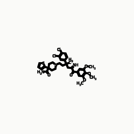 COc1cc(C(=O)C(=N)CC(C)(CCN2CCC(C(N)=O)(c3cccs3)CC2)c2ccc(Cl)c(Cl)c2)cc(OC)c1OC